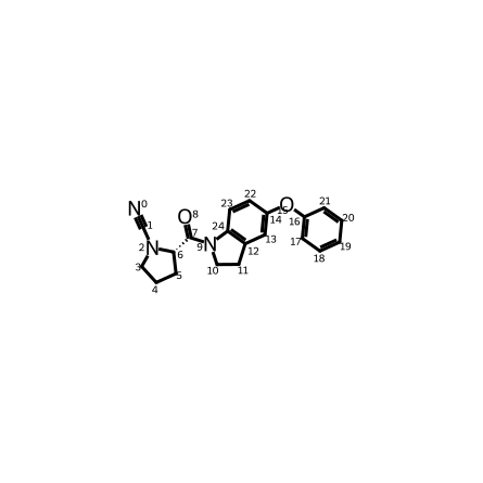 N#CN1CCC[C@H]1C(=O)N1CCc2cc(Oc3ccccc3)ccc21